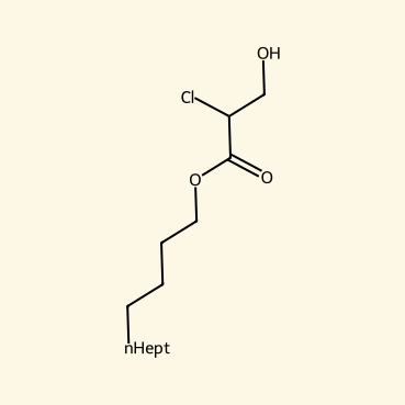 CCCCCCCCCCCOC(=O)C(Cl)CO